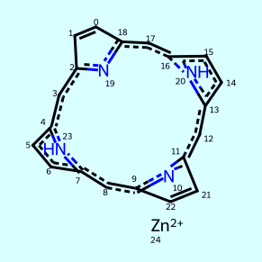 C1=Cc2cc3ccc(cc4nc(cc5ccc(cc1n2)[nH]5)C=C4)[nH]3.[Zn+2]